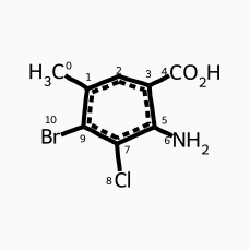 Cc1cc(C(=O)O)c(N)c(Cl)c1Br